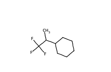 CC(C1CCCCC1)C(F)(F)F